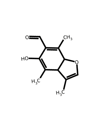 CC1=COC2C(C)=C(C=O)C(O)=C(C)C12